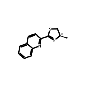 C[C@@H]1CSC(c2ccc3ccccc3n2)=N1